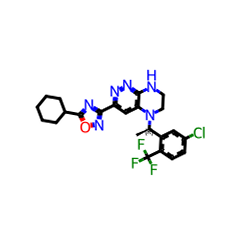 C[C@H](c1cc(Cl)ccc1C(F)(F)F)N1CCNc2nnc(-c3noc(C4CCCCC4)n3)cc21